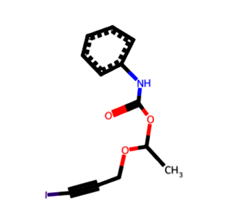 CC(OCC#CI)OC(=O)Nc1ccccc1